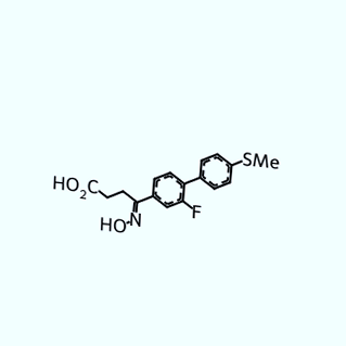 CSc1ccc(-c2ccc(C(CCC(=O)O)=NO)cc2F)cc1